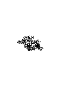 N#Cc1ccc(-c2cc(-n3c4ccccc4c4ccc(-c5nc(-c6ccccc6)nc(-c6ccccc6)n5)cc43)c(-n3c4ccccc4c4ccc(-c5nc(-c6ccccc6)nc(-c6ccccc6)n5)cc43)cc2C#N)c(C(F)(F)F)c1